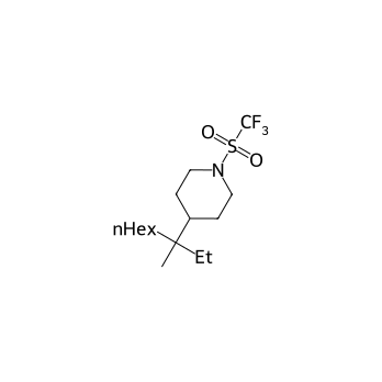 CCCCCCC(C)(CC)C1CCN(S(=O)(=O)C(F)(F)F)CC1